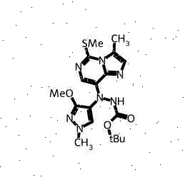 COc1nn(C)cc1N(NC(=O)OC(C)(C)C)c1cnc(SC)n2c(C)cnc12